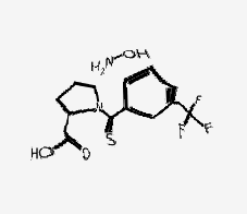 NO.O=C(O)[C@H]1CCCN1C(=S)c1cccc(C(F)(F)F)c1